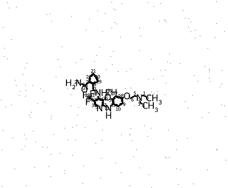 CCN(CC)CCOc1ccc(Nc2cc(NCc3ccccc3C(N)=O)c(C(F)(F)F)cn2)c(OC)c1